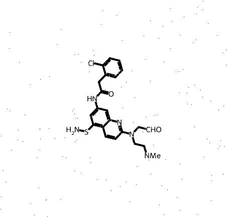 CNCCN(CC=O)c1ccc2c(SN)cc(NC(=O)Cc3ccccc3Cl)cc2n1